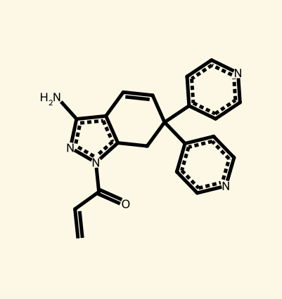 C=CC(=O)n1nc(N)c2c1CC(c1ccncc1)(c1ccncc1)C=C2